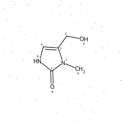 Cn1c(CO)c[nH]c1=O